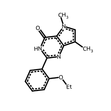 CCOc1ccccc1-c1nc2c(C)cn(C)c2c(=O)[nH]1